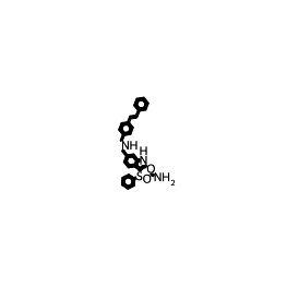 NC(=O)Oc1[nH]c2cc(CNCc3ccc(C=Cc4ccccc4)cc3)ccc2c1Sc1ccccc1